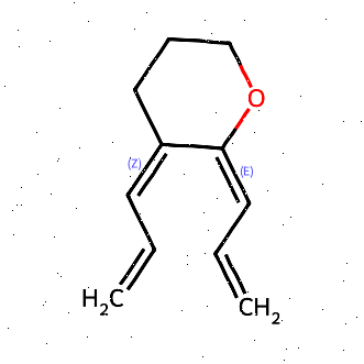 C=C/C=C1/CCCO/C1=C/C=C